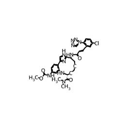 COC(=O)Nc1ccc2c(c1)N[C@@H](C(=O)N(C)C)CCCC[C@H](NC(=O)C=Cc1cc(Cl)ccc1-n1cnnn1)c1nc-2c[nH]1